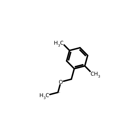 C[CH]OCc1cc(C)ccc1C